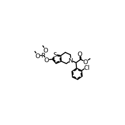 COC(=O)C(c1ccccc1Cl)N1CCc2sc(OP(OC)OC)cc2C1